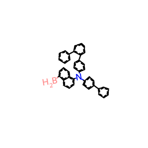 Bc1cccc2c(N(c3ccc(-c4ccccc4)cc3)c3ccc(-c4ccccc4-c4ccccc4)cc3)cccc12